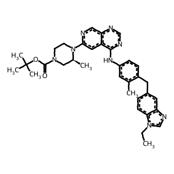 CCn1cnc2cc(Cc3ccc(Nc4ncnc5cnc(N6CCN(C(=O)OC(C)(C)C)C[C@@H]6C)cc45)cc3C)ccc21